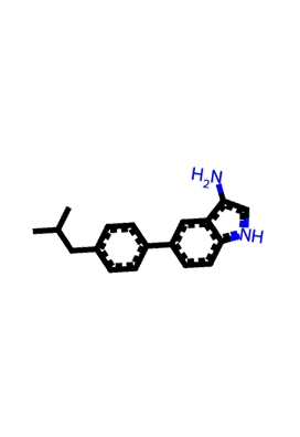 CC(C)Cc1ccc(-c2ccc3[nH]cc(N)c3c2)cc1